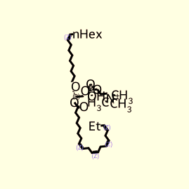 CC/C=C\C/C=C\C/C=C\C/C=C\CCCCCCC(=O)O[C@H](COCCCCCCCC/C=C\CCCCCC)COP(=O)(O)OCC[N+](C)(C)C